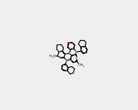 Cc1cc2c3c(c1)N(c1cccc4c1CCCC4)c1ccc4c(c1B3C1=C3CCCCC3C(C)C=C1N2c1cccc2c1CCCC2)CCCC4